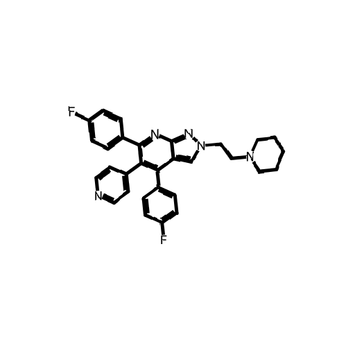 Fc1ccc(-c2nc3nn(CCN4CCCCC4)cc3c(-c3ccc(F)cc3)c2-c2ccncc2)cc1